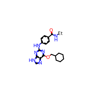 CCNC(=O)c1ccc(Nc2nc(OCC3CCCCC3)c3nc[nH]c3n2)cc1